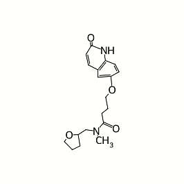 CN(CC1CCCO1)C(=O)CCCOc1ccc2[nH]c(=O)ccc2c1